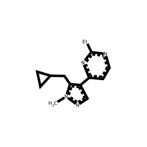 CCc1nccc(-c2cnn(C)c2CC2CC2)n1